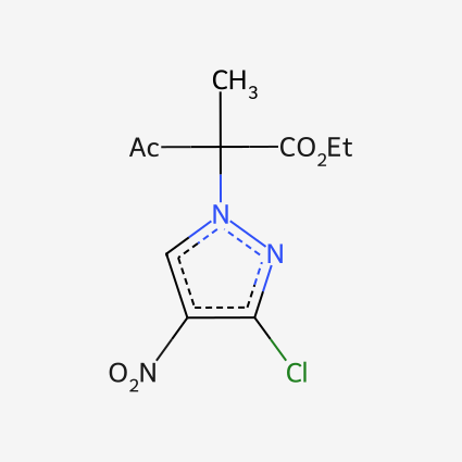 CCOC(=O)C(C)(C(C)=O)n1cc([N+](=O)[O-])c(Cl)n1